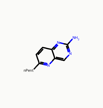 CCCCCc1ccc2nc(N)ncc2n1